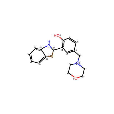 Oc1ccc(CN2CCOCC2)cc1C1Nc2ccccc2S1